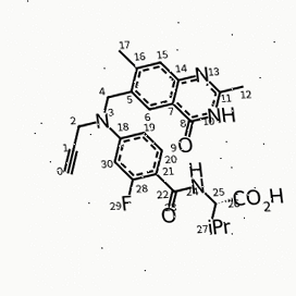 C#CCN(Cc1cc2c(=O)[nH]c(C)nc2cc1C)c1ccc(C(=O)N[C@H](C(=O)O)C(C)C)c(F)c1